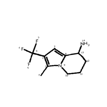 Cc1c(C(F)(F)F)cc2n1CCCC2N